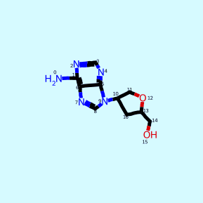 Nc1ncnc2c1ncn2C1COC(CO)C1